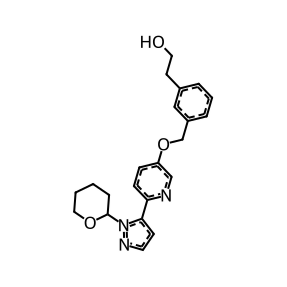 OCCc1cccc(COc2ccc(-c3ccnn3C3CCCCO3)nc2)c1